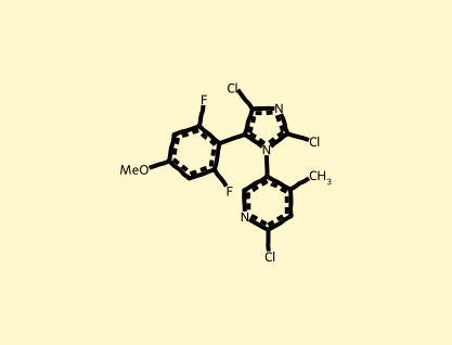 COc1cc(F)c(-c2c(Cl)nc(Cl)n2-c2cnc(Cl)cc2C)c(F)c1